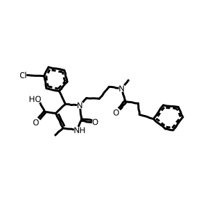 CC1=C(C(=O)O)C(c2cccc(Cl)c2)N(CCCN(C)C(=O)CCc2ccccc2)C(=O)N1